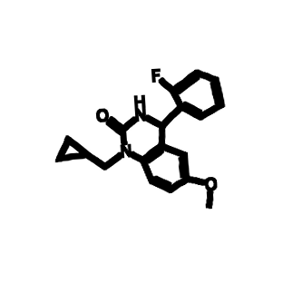 COc1ccc2c(c1)C(c1ccccc1F)NC(=O)N2CC1CC1